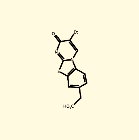 CCc1cn2c(nc1=O)sc1cc(CC(=O)O)ccc12